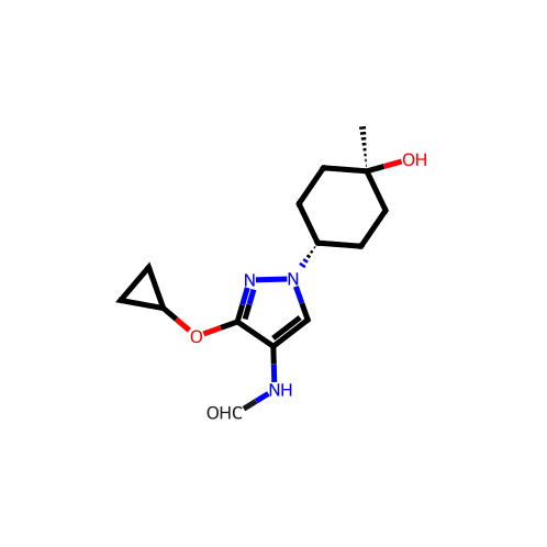 C[C@]1(O)CC[C@H](n2cc(NC=O)c(OC3CC3)n2)CC1